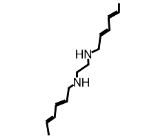 CC=CC=CCNCCNCC=CC=CC